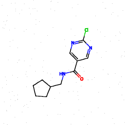 O=C(NCC1CCCC1)c1cnc(Cl)nc1